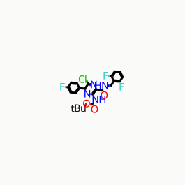 CC(C)(C)OC(=O)Nc1nc(-c2ccc(F)cc2)c(Cl)nc1C(=O)NCc1c(F)cccc1F